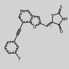 O=C1NC(=S)S/C1=C\c1cc2cncc(C#Cc3cccc(F)c3)c2o1